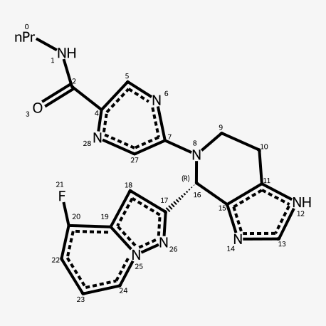 CCCNC(=O)c1cnc(N2CCc3[nH]cnc3[C@@H]2c2cc3c(F)cccn3n2)cn1